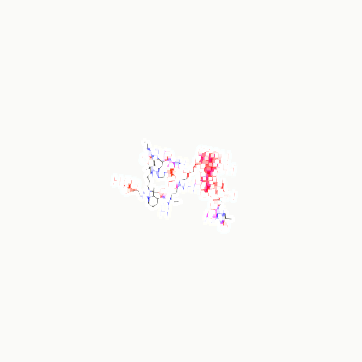 CCCNC(=O)c1cc(C(=O)NCC)cc2c1C(C)(C)C(/C=C/C=C1/N(CCCS(=O)(=O)O)c3cccc(C(=O)NC(CC)CCC(=O)NCCCCCCOP(=O)(O)OP(=O)(O)OP(=O)(O)OP(=O)(O)OP(=O)(O)OP(=O)(O)OC[C@H]4O[C@@H](n5cc(C)c(=O)[nH]c5=O)CC4O)c3C1(C)C)=[N+]2CCCS(=O)(=O)O